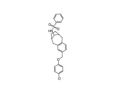 O=S(=O)(NC1C2CCC1Cc1cc(COc3ccc(Cl)cc3)ccc1C2)c1ccccc1